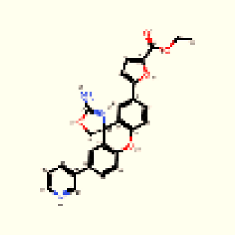 CCOC(=O)c1ccc(-c2ccc3c(c2)[C@]2(COC(N)=N2)c2cc(-c4cccnc4)ccc2O3)o1